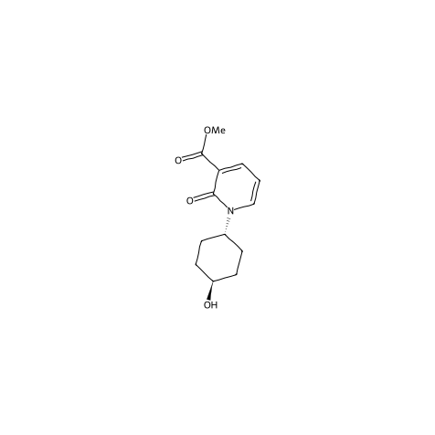 COC(=O)c1cccn([C@H]2CC[C@H](O)CC2)c1=O